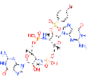 Nc1nc2c(ncn2[C@@H]2O[C@@H]3COP(=O)(O)N[C@H]4[C@@H](OS(=O)(=O)c5ccc(Br)cc5)[C@H](n5cnc6c(=O)[nH]c(N)nc65)O[C@@H]4COP(=O)(O)N[C@H]3[C@H]2O)c(=O)[nH]1